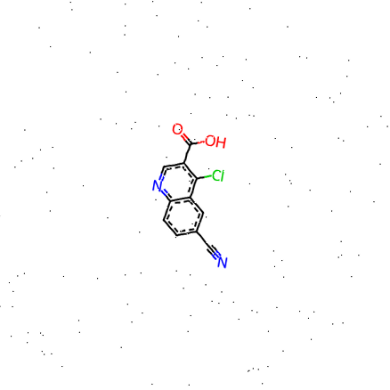 N#Cc1ccc2ncc(C(=O)O)c(Cl)c2c1